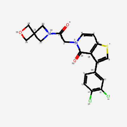 O=C(Cn1ccc2scc(-c3ccc(Cl)c(Cl)c3)c2c1=O)N1CC2(COC2)C1